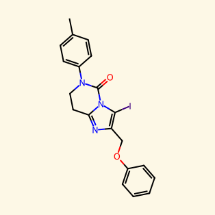 Cc1ccc(N2CCc3nc(COc4ccccc4)c(I)n3C2=O)cc1